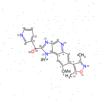 COc1cc2c(cc1-c1c(C)noc1C)ncc1nc(C(=O)c3cccnc3)n(C(C)C)c12